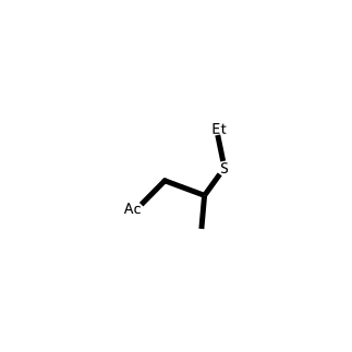 CCSC(C)CC(C)=O